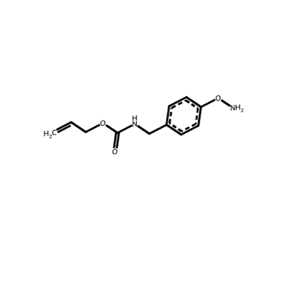 C=CCOC(=O)NCc1ccc(ON)cc1